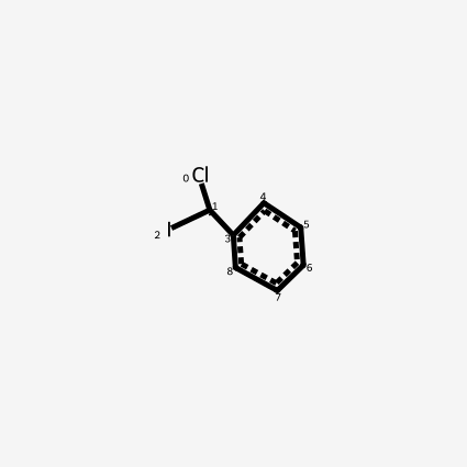 Cl[C](I)c1ccccc1